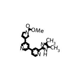 COC(=O)N1CC=C(c2cncc(-c3ccnc(-c4nc(C)c(C)[nH]4)c3)c2)C1